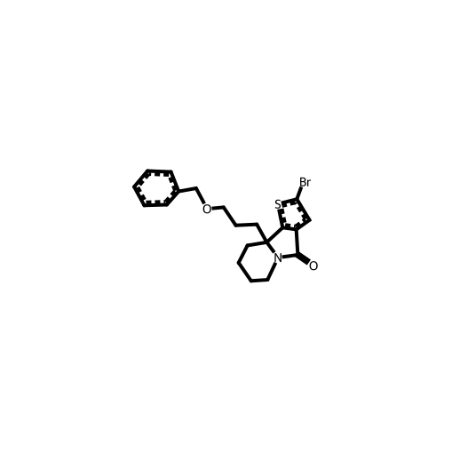 O=C1c2cc(Br)sc2C2(CCCOCc3ccccc3)CCCCN12